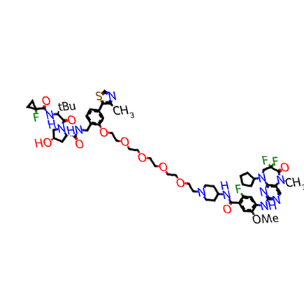 COc1cc(C(=O)NC2CCN(CCOCCOCCOCCOCCOc3cc(-c4scnc4C)ccc3CNC(=O)[C@@H]3C[C@@H](O)CN3C(=O)[C@@H](NC(=O)C3(F)CC3)C(C)(C)C)CC2)c(F)cc1Nc1ncc2c(n1)N(C1CCCC1)CC(F)(F)C(=O)N2C